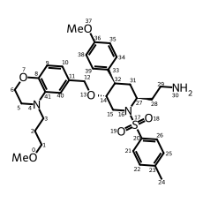 COCCCN1CCOc2ccc(CO[C@H]3CN(S(=O)(=O)c4ccc(C)cc4)[C@H](CCN)C[C@@H]3c3ccc(OC)cc3)cc21